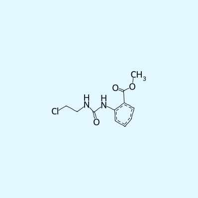 COC(=O)c1ccccc1NC(=O)NCCCl